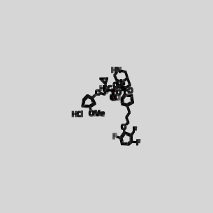 COc1cccc(OCN(C(=O)C2=C(c3ccc(CCCOc4c(F)ccc(F)c4F)cc3)CC3CNCC2N3C(=O)OC(C)(C)C(Cl)(Cl)Cl)C2CC2)c1.Cl